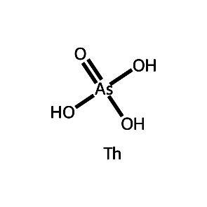 O=[As](O)(O)O.[Th]